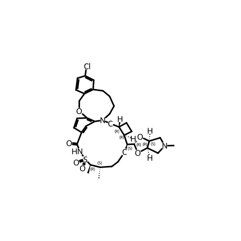 C[C@@H]1[C@@H](C)CCC[C@H]([C@@H]2O[C@H]3CN(C)C[C@H]3O2)[C@@H]2CC[C@H]2CN2CCCCc3cc(Cl)ccc3COc3ccc(cc32)C(=O)NS1(=O)=O